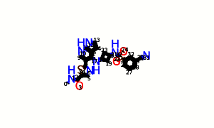 CNC(=O)c1cnc(-c2cnc3[nH]ccc3c2NC2CC(NS(=O)(=O)c3cccc(C#N)c3)C2)s1